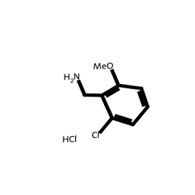 COc1cccc(Cl)c1CN.Cl